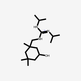 CC(C)/N=C(\NCC1(C)CC(O)CC(C)(C)C1)NC(C)C